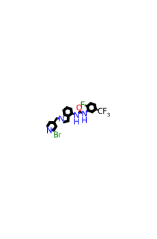 O=C(Nc1cc(C(F)(F)F)ccc1F)Nc1cccc2c1ccn2Cc1ccnc(Br)c1